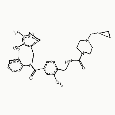 Cc1cc(C(=O)N2Cc3cnn(C)c3Nc3ccccc32)ccc1CNC(=O)N1CCN(CC2CC2)CC1